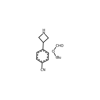 CC(C)(C)OC=O.N#Cc1ccc(C2CNC2)cc1